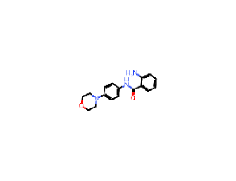 Nc1ccccc1C(=O)Nc1ccc(N2CCOCC2)cc1